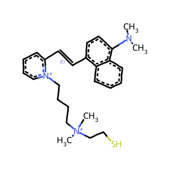 CN(C)c1ccc(/C=C/c2cccc[n+]2CCCC[N+](C)(C)CCS)c2ccccc12